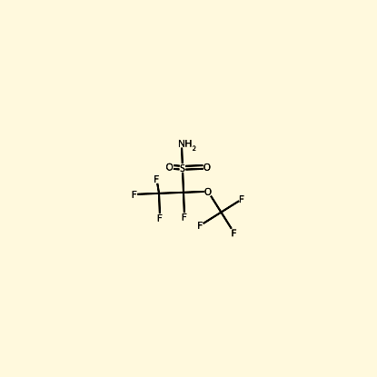 NS(=O)(=O)C(F)(OC(F)(F)F)C(F)(F)F